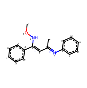 CON/C(=C\C(C)=N\c1ccccc1)c1ccccc1